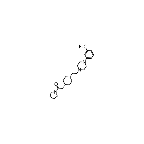 O=C(C[C@H]1CC[C@H](CCN2CCN(c3cccc(C(F)(F)F)c3)CC2)CC1)N1CCCC1